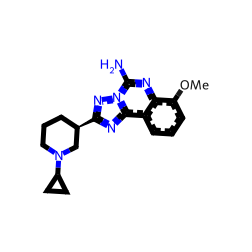 COc1cccc2c1nc(N)n1nc([C@@H]3CCCN(C4CC4)C3)nc21